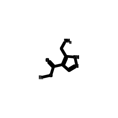 CCOC(=O)c1cn[nH]c1CN